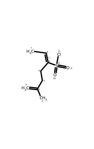 C=C(C)CC/C(=C\C)S(=O)(=O)Cl